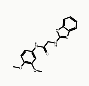 COc1ccc(NC(=O)CNc2nc3ccccc3o2)cc1OC